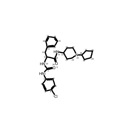 O=C(Nc1ccc(Cl)cc1)NC(Cc1ccccc1)C(=O)NC1CCN(C2CCCC2)CC1